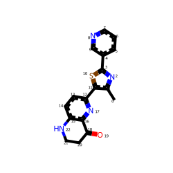 Cc1nc(-c2cccnc2)sc1-c1ccc2c(n1)C(=O)CCN2